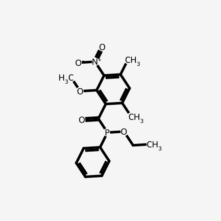 CCOP(C(=O)c1c(C)cc(C)c([N+](=O)[O-])c1OC)c1ccccc1